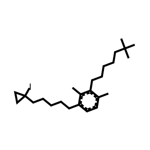 Cc1ccc(CCCCCC2(I)CC2)c(C)c1CCCCCC(C)(C)C